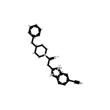 N#Cc1ccc2nc(CC(=O)N3CCC(Cc4ccccc4)CC3)[nH]c2c1